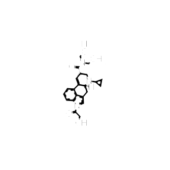 CCC(=O)n1cc2c3c(cccc31)C1=C[C@@H](C(=O)N(CC)CC)CN(C3CC3)[C@@H]1C2